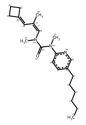 CCCCCCc1ccc(N(C)C(=O)N(C)/C=C(/C)C=C2CCC2)nc1